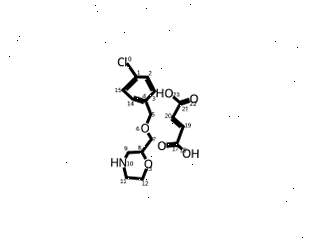 Clc1ccc(COCC2CNCCO2)cc1.O=C(O)C=CC(=O)O